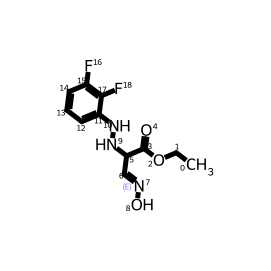 CCOC(=O)C(/C=N/O)NNc1cccc(F)c1F